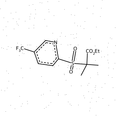 CCOC(=O)C(C)(C)S(=O)(=O)c1ccc(C(F)(F)F)cn1